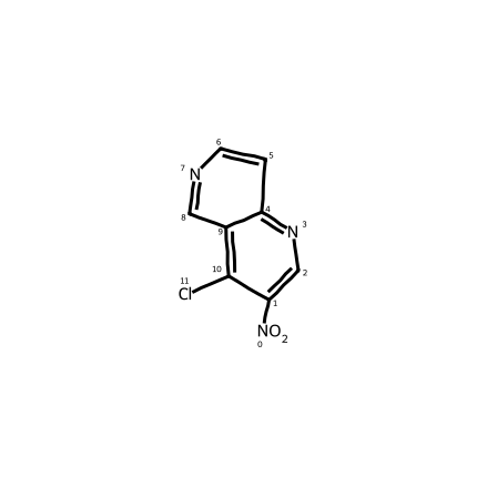 O=[N+]([O-])c1cnc2ccncc2c1Cl